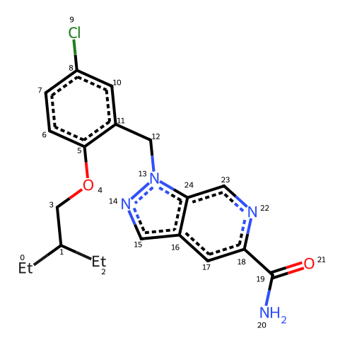 CCC(CC)COc1ccc(Cl)cc1Cn1ncc2cc(C(N)=O)ncc21